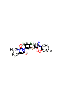 COC(=O)[C@@H](C)NC(=O)C(C)Sc1cc(-n2c(=O)cc(C(F)(F)F)n(C)c2=O)c(F)cc1Cl